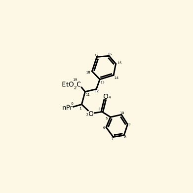 CCCC(OC(=O)c1ccccc1)C(Cc1ccccc1)C(=O)OCC